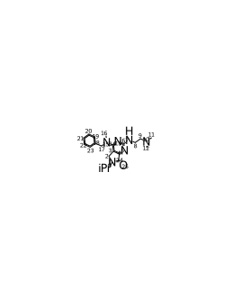 CC(C)N1Cc2c(nc(NCCN(C)C)nc2N(C)Cc2ccccc2)C1=O